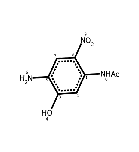 CC(=O)Nc1cc(O)c(N)cc1[N+](=O)[O-]